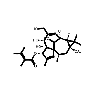 CC(=O)O[C@@]12C[C@@H](C)[C@]34C=C(C)[C@H](OC(=O)C(C)=C(C)C)[C@@]3(O)[C@H](O)C(CO)=C[C@H](C4O)[C@@H]1C2(C)C